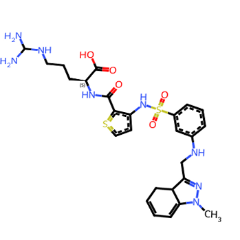 CN1N=C(CNc2cccc(S(=O)(=O)Nc3ccsc3C(=O)N[C@@H](CCCNC(N)N)C(=O)O)c2)C2CC=CC=C21